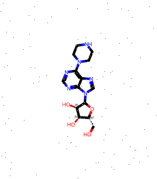 OC[C@H]1OC(n2cnc3c(N4CCNCC4)ncnc32)[C@H](O)[C@@H]1O